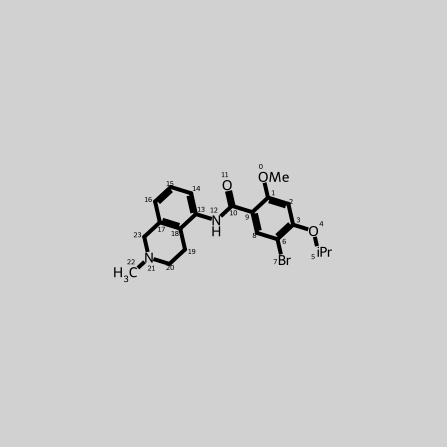 COc1cc(OC(C)C)c(Br)cc1C(=O)Nc1cccc2c1CCN(C)C2